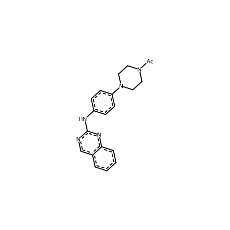 CC(=O)N1CCN(c2ccc(Nc3ncc4ccccc4n3)cc2)CC1